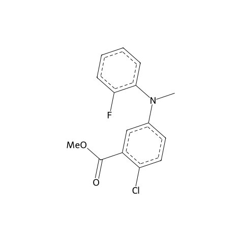 COC(=O)c1cc(N(C)c2ccccc2F)ccc1Cl